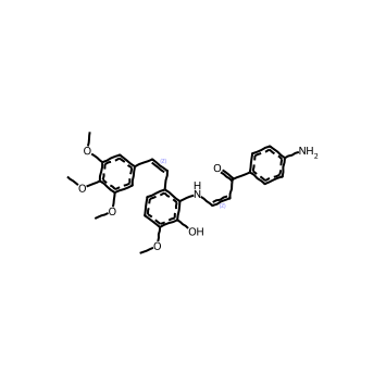 COc1ccc(/C=C\c2cc(OC)c(OC)c(OC)c2)c(N/C=C\C(=O)c2ccc(N)cc2)c1O